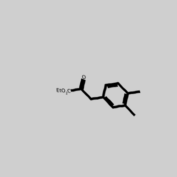 CCOC(=O)C(=O)Cc1ccc(C)c(C)c1